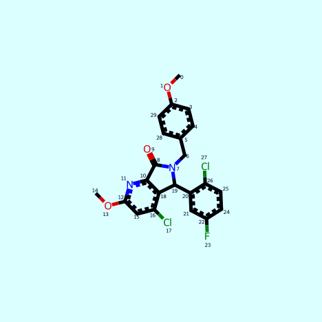 COc1ccc(CN2C(=O)c3nc(OC)cc(Cl)c3C2c2cc(F)ccc2Cl)cc1